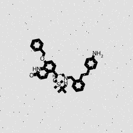 CC(C)(C)[Si](C)(C)O[C@@H](CNCc1ccccc1CCc1ccc(N)cc1)c1ccc(OCc2ccccc2)c2[nH]c(=O)ccc12